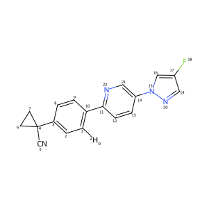 [2H]c1cc(C2(C#N)CC2)ccc1-c1ccc(-n2cc(F)cn2)cn1